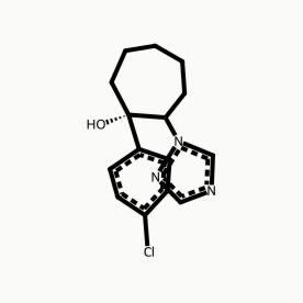 O[C@]1(c2ccc(Cl)cc2)CCCCCC1n1cncn1